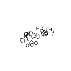 Cn1cc(C2=C(c3c4n(c5ccccc35)CC(N(C=O)OC(C)(C)C)CC4)C(=O)OC2=O)c2ccccc21